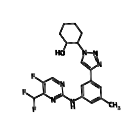 Cc1cc(Nc2ncc(F)c(C(F)F)n2)cc(-c2cn(C3CCCCC3O)nn2)c1